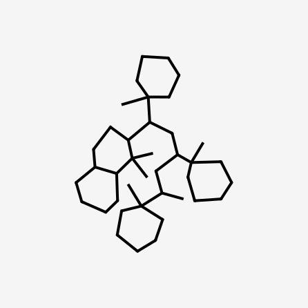 CC(CC(CC(C1CCC2CCCCC2C1(C)C)C1(C)CCCCC1)C1(C)CCCCC1)C1(C)CCCCC1